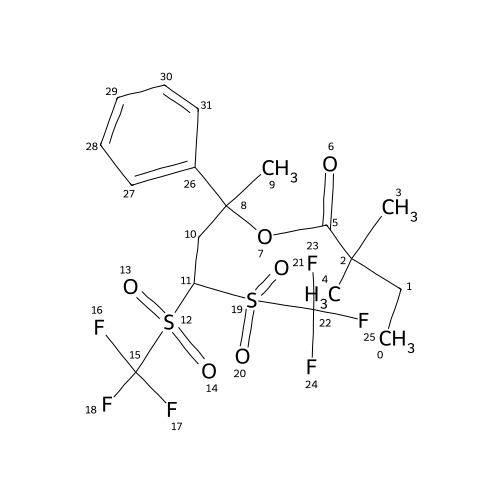 CCC(C)(C)C(=O)OC(C)(CC(S(=O)(=O)C(F)(F)F)S(=O)(=O)C(F)(F)F)c1ccccc1